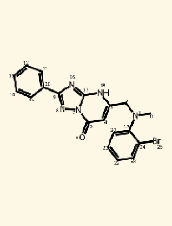 CN(Cc1cc(=O)n2nc(-c3ccccc3)nc2[nH]1)c1ccccc1Br